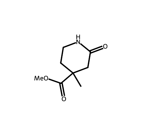 COC(=O)C1(C)CCNC(=O)C1